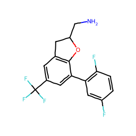 NCC1Cc2cc(C(F)(F)F)cc(-c3cc(F)ccc3F)c2O1